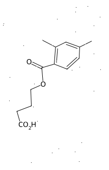 Cc1ccc(C(=O)OCCCC(=O)O)c(C)c1